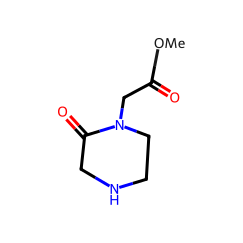 COC(=O)CN1CCNCC1=O